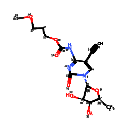 C#Cc1cn([C@@H]2O[C@H](C)[C@@H](O)[C@H]2O)c(=O)nc1NC(=O)OCCCOCC